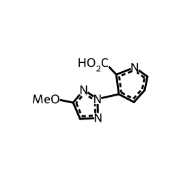 COc1cnn(-c2cccnc2C(=O)O)n1